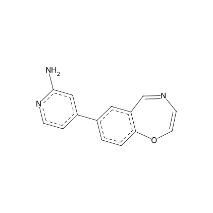 Nc1cc(-c2ccc3c(c2)C=NC=CO3)ccn1